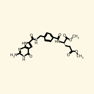 COC(=O)CC[C@H](NC(=O)c1ccc(CNC(=O)c2cc3c(=O)[nH]c(N)nc3[nH]2)cc1)C(=O)OC